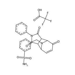 NS(=O)(=O)c1cccc(CN2C3C=CC(=O)C2C2C(=O)N(c4ccccc4)C(=O)C23)c1.O=C(O)C(F)(F)F